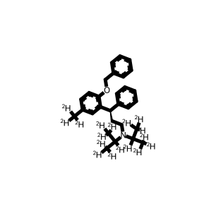 [2H]C([2H])([2H])c1ccc(OCc2ccccc2)c([C@H](CCN(C([2H])(C([2H])([2H])[2H])C([2H])([2H])[2H])C([2H])(C([2H])([2H])[2H])C([2H])([2H])[2H])c2ccccc2)c1